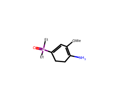 CCP(=O)(CC)C1=CC(OC)=C(N)CC1